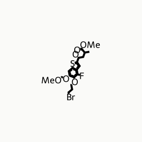 COCOc1cc2sc(C(=O)CC(C)C(=O)OC)cc2c(F)c1OCCCBr